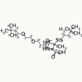 CC(C)(C)CCOCCOCCC(=O)N[C@H](C(=O)O)C(C)(C)SSCCC(C)(C)C